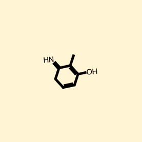 CC1=C(O)C=CCC1=N